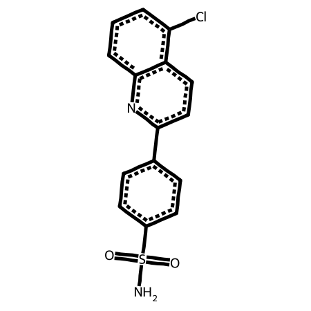 NS(=O)(=O)c1ccc(-c2ccc3c(Cl)cccc3n2)cc1